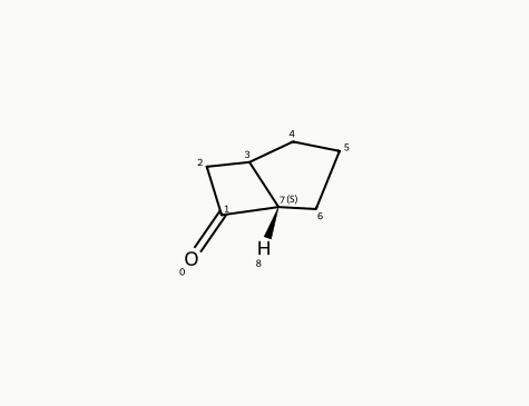 O=C1CC2CCC[C@H]12